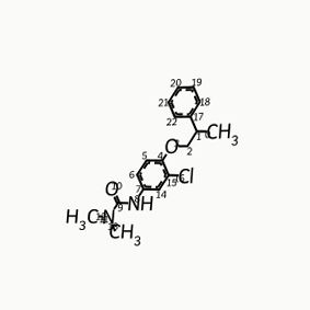 CC(COc1ccc(NC(=O)N(C)C)cc1Cl)c1ccccc1